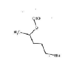 CC(CCCC(C)(C)C)O[C]=O